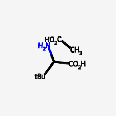 CC(=O)O.CC(C)(C)C(N)C(=O)O